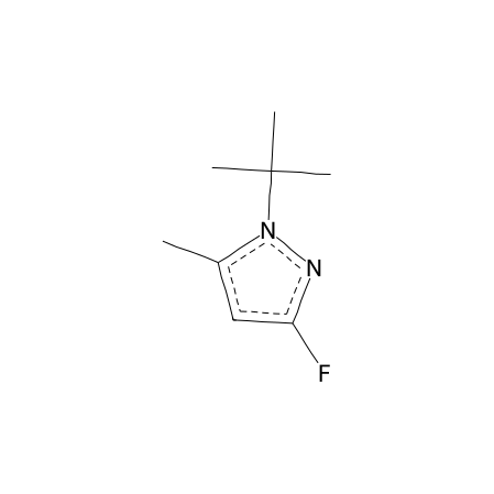 Cc1cc(F)nn1C(C)(C)C